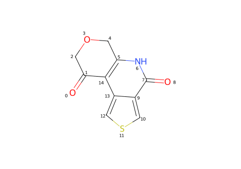 O=C1COCc2[nH]c(=O)c3cscc3c21